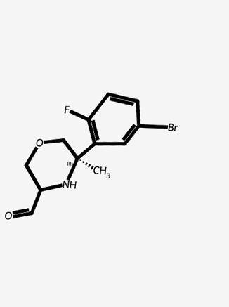 C[C@@]1(c2cc(Br)ccc2F)COCC(C=O)N1